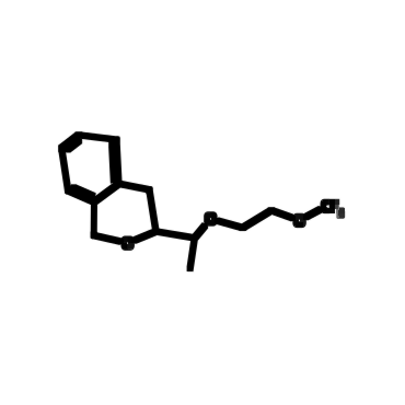 CC(OCCOC(F)(F)F)C1Cc2ccccc2CO1